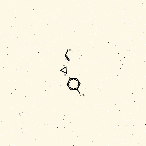 C/C=C/[C@H]1C[C@H]1c1ccc(C)cc1